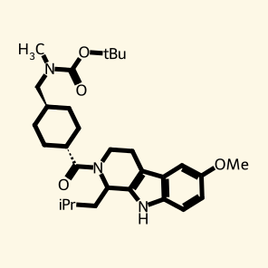 COc1ccc2[nH]c3c(c2c1)CCN(C(=O)[C@H]1CC[C@H](CN(C)C(=O)OC(C)(C)C)CC1)C3CC(C)C